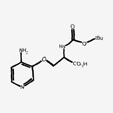 CC(C)(C)OC(=O)NC(COc1cnccc1N)C(=O)O